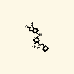 CN(Cc1ccccn1)c1nc(Nc2ccc3c(c2)CC(=O)N3)ncc1C(F)(F)F